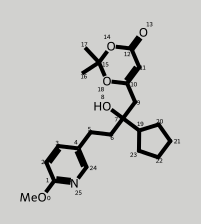 COc1ccc(CCC(O)(CC2=CC(=O)OC(C)(C)O2)C2CCCC2)cn1